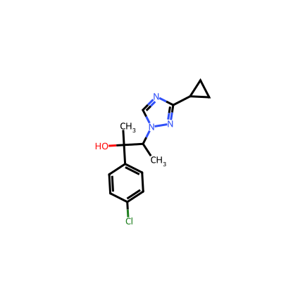 CC(n1cnc(C2CC2)n1)C(C)(O)c1ccc(Cl)cc1